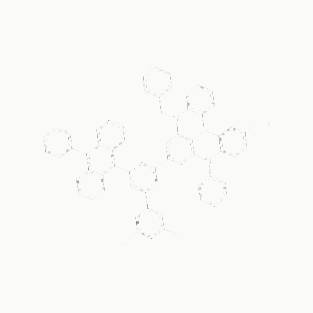 CC(C)(C)c1cc(-c2cc(-c3cc4c5c(c3)N(c3ccccc3)c3ccc(C(C)(C)C)cc3B5c3ccccc3N4Cc3ccccc3)cc(-c3c4ccccc4c(-c4ccccc4)c4ccccc34)c2)cc(C(C)(C)C)c1